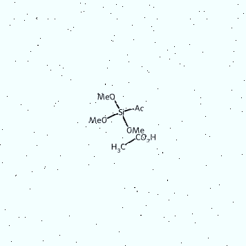 CC(=O)O.CO[Si](OC)(OC)C(C)=O